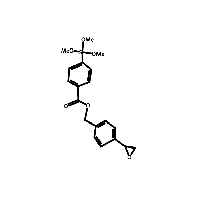 CO[Si](OC)(OC)c1ccc(C(=O)OCc2ccc(C3CO3)cc2)cc1